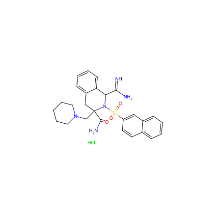 Cl.N=C(N)C1c2ccccc2CC(CN2CCCCC2)(C(N)=O)N1S(=O)(=O)c1ccc2ccccc2c1